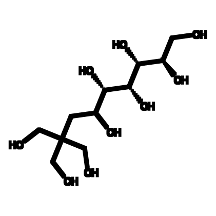 OC[C@@H](O)[C@@H](O)[C@H](O)[C@@H](O)C(O)CC(CO)(CO)CO